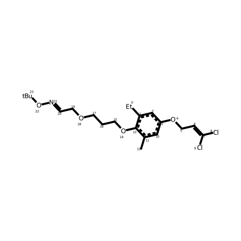 CCc1cc(OCC=C(Cl)Cl)cc(C)c1OCCCOCC=NOC(C)(C)C